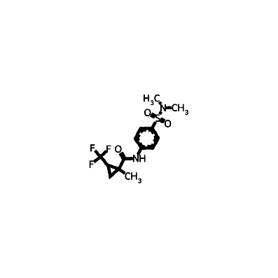 CN(C)S(=O)(=O)c1ccc(NC(=O)C2(C)CC2C(F)(F)F)cc1